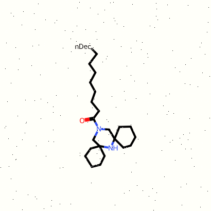 CCCCCCCCCCCCCCCCCC(=O)N1CC2(CCCCC2)NC2(CCCCC2)C1